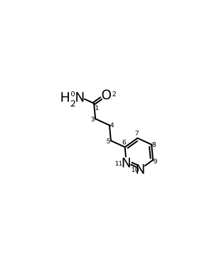 NC(=O)CCCc1cccnn1